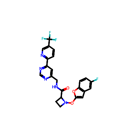 O=C(NCc1cc(-c2ccc(C(F)(F)F)cn2)ncn1)C1CCN1Oc1cc2cc(F)ccc2o1